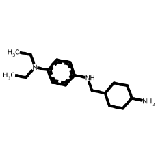 CCN(CC)c1ccc(NCC2CCC(N)CC2)cc1